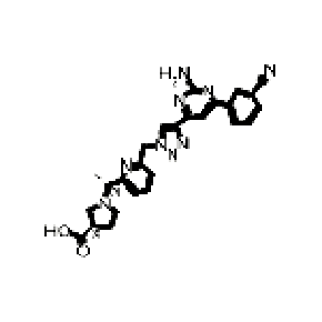 C[C@H](c1cccc(Cn2cc(-c3cc(-c4cccc(C#N)c4)nc(N)n3)nn2)n1)N1CC[C@@H](C(=O)O)C1